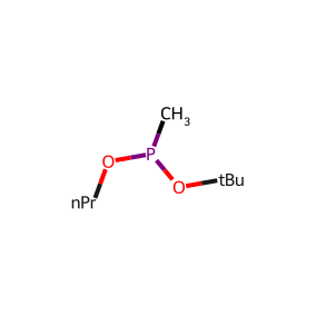 CCCOP(C)OC(C)(C)C